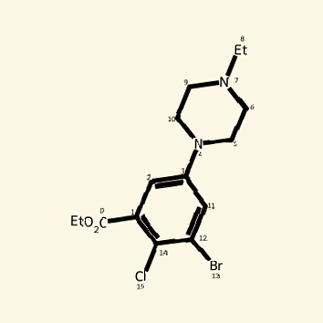 CCOC(=O)c1cc(N2CCN(CC)CC2)cc(Br)c1Cl